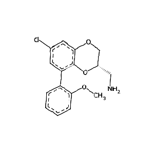 COc1ccccc1-c1cc(Cl)cc2c1O[C@@H](CN)CO2